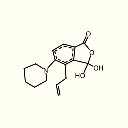 C=CCc1c(N2CCCCC2)ccc2c1C(O)(O)OC2=O